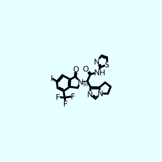 O=C(Nc1nccs1)[C@@H](c1ncn2c1CCC2)N1Cc2c(cc(I)cc2C(F)(F)F)C1=O